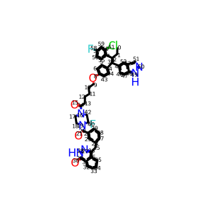 CC/C(=C(/c1ccc(OCCCCCC(=O)N2CCN(C(=O)c3cc(Cc4n[nH]c(=O)c5ccccc45)ccc3F)CC2)cc1)c1ccc2[nH]ncc2c1)c1ccc(F)cc1Cl